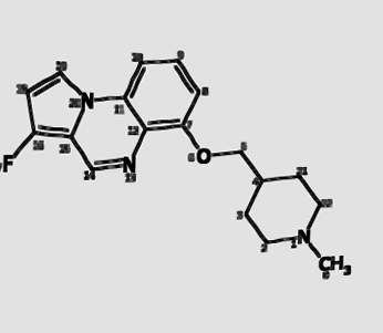 CN1CCC(COc2cccc3c2ncc2c(F)ccn23)CC1